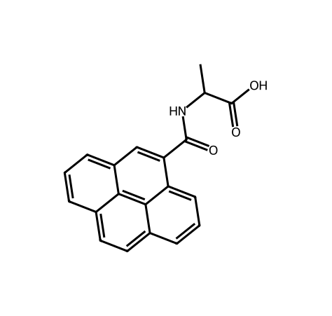 CC(NC(=O)c1cc2cccc3ccc4cccc1c4c32)C(=O)O